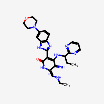 CCN/C=C1/NC(=O)C(c2nc3ccc(N4CCOCC4)cc3[nH]2)=C(NC(CC)c2ncccn2)C1=N